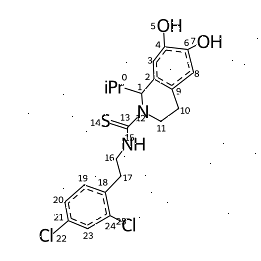 CC(C)C1c2cc(O)c(O)cc2CCN1C(=S)NCCc1ccc(Cl)cc1Cl